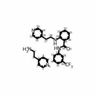 NCCc1ccncc1.O=C(Nc1cccc(C(F)(F)F)c1)c1ccccc1NCCc1ccncc1